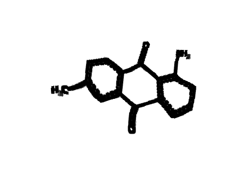 Cc1ccc2c(c1)C(=O)c1cccc(N)c1C2=O